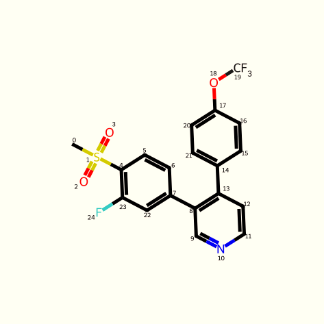 CS(=O)(=O)c1ccc(-c2cnccc2-c2ccc(OC(F)(F)F)cc2)cc1F